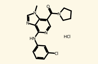 Cl.Cn1cnc2c(Nc3cccc(Cl)c3)ncc(C(=O)N3CCCC3)c21